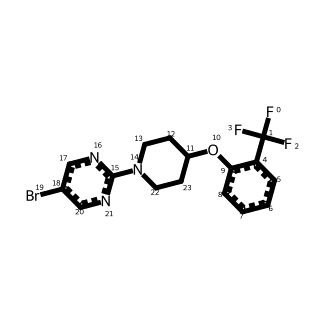 FC(F)(F)c1ccccc1OC1CCN(c2ncc(Br)cn2)CC1